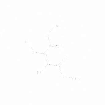 CCCCOC(=O)/C(CC)=C(/CC(C)C)C(=O)OCCCC